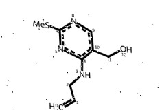 C=CCNc1nc(SC)ncc1CO